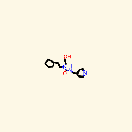 O=C(NCc1ccncc1)N(CCO)CCC1=CCCCC1